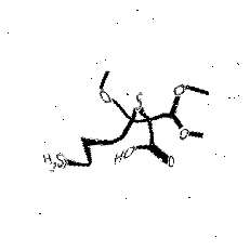 COC(OC)C1(C(=O)O)SC1(CCC[SiH3])OC